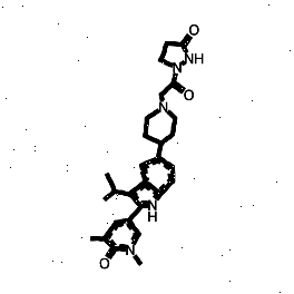 Cc1cc(-c2[nH]c3ccc(C4CCN(CC(=O)N5CCC(=O)N5)CC4)cc3c2C(C)C)cn(C)c1=O